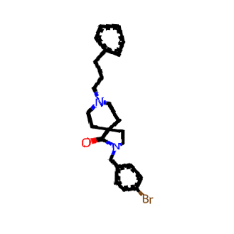 O=C1N(Cc2ccc(Br)cc2)CCC12CCN(CCCc1ccccc1)CC2